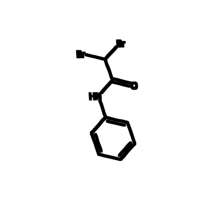 O=C(Nc1ccccc1)C(Br)Br